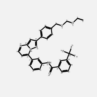 CCOCOCc1ccc(-c2cc3nccc(-c4cccc(NC(=O)c5cccc(C(F)(F)F)c5)c4)n3n2)cc1